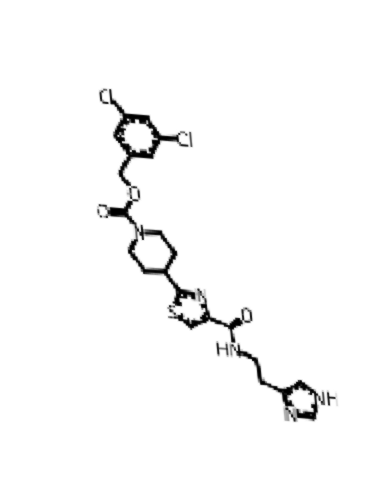 O=C(NCCc1c[nH]cn1)c1csc(C2CCN(C(=O)OCc3cc(Cl)cc(Cl)c3)CC2)n1